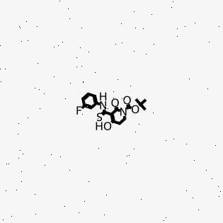 CC(C)(C)OC(=O)N1CCC(O)=C(C(=S)Nc2cccc(F)c2)C1=O